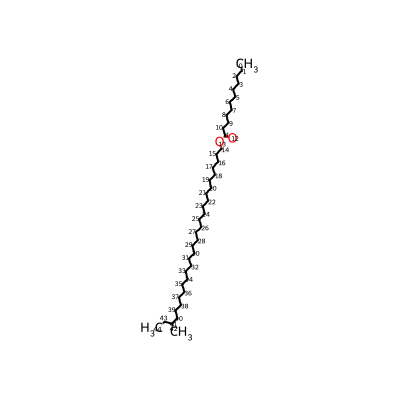 CCCCCCCCCCCC(=O)OCCCCCCCCCCCCCCCCCCCCCCCCCCCC(C)CC